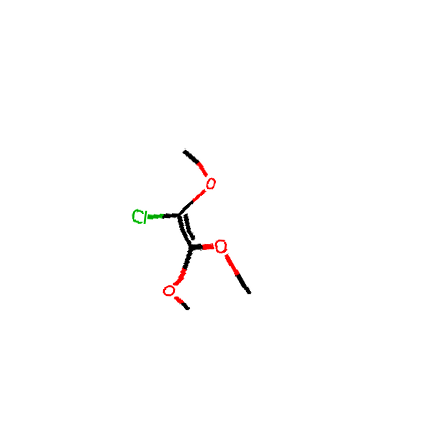 COC(Cl)=C(OC)OC